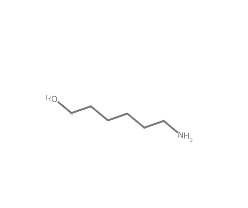 NCCCCC[C]O